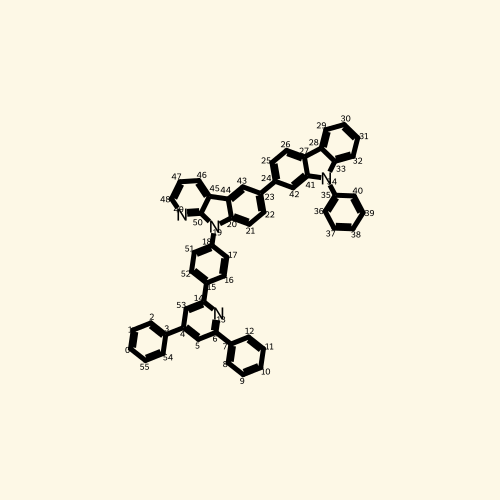 c1ccc(-c2cc(-c3ccccc3)nc(-c3ccc(-n4c5ccc(-c6ccc7c8ccccc8n(-c8ccccc8)c7c6)cc5c5cccnc54)cc3)c2)cc1